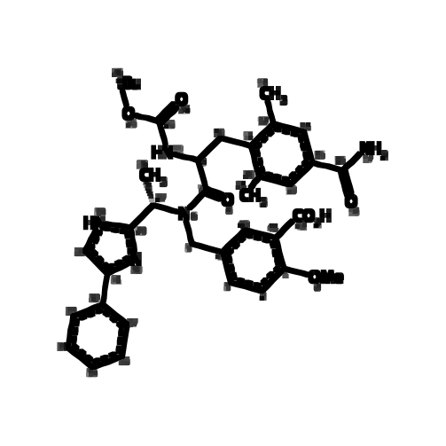 COc1ccc(CN(C(=O)C(Cc2c(C)cc(C(N)=O)cc2C)NC(=O)OC(C)(C)C)[C@@H](C)c2nc(-c3ccccc3)c[nH]2)cc1C(=O)O